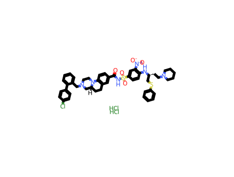 Cl.Cl.O=C(NS(=O)(=O)c1ccc(N[C@H](CCN2CCCCC2)CSc2ccccc2)c([N+](=O)[O-])c1)c1ccc2c(c1)CC[C@@H]1CN(Cc3ccccc3-c3ccc(Cl)cc3)CCN21